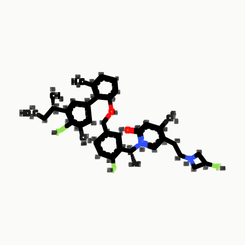 CC(=O)[C@H](c1cc(COc2cccc(C)c2-c2cc([C@@H](C)CC(=O)O)c(F)c(C(F)(F)F)c2)ccc1F)n1cc(CCN2CC(F)C2)c(C(F)(F)F)cc1=O